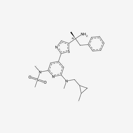 CC1CC1CN(C)c1cc(-c2ncc([C@](C)(N)Cc3ccccc3)s2)cc(N(C)S(C)(=O)=O)n1